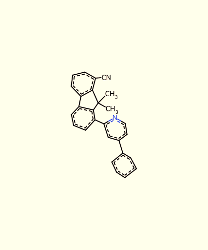 CC1(C)c2c(C#N)cccc2-c2cccc(-c3cc(-c4ccccc4)ccn3)c21